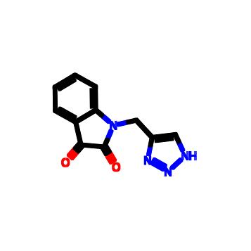 O=C1C(=O)N(Cc2c[nH]nn2)c2ccccc21